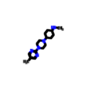 CNC1CCC(N2CCN(c3ncc(C)cn3)CC2)CC1